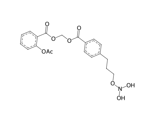 CC(=O)Oc1ccccc1C(=O)OCOC(=O)c1ccc(CCCON(O)O)cc1